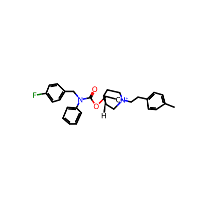 Cc1ccc(CC[N+]23CCC(CC2)[C@@H](OC(=O)N(Cc2ccc(F)cc2)c2ccccc2)C3)cc1